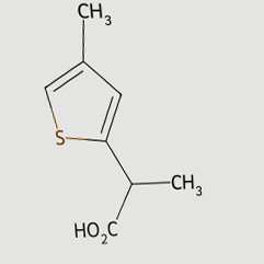 Cc1csc(C(C)C(=O)O)c1